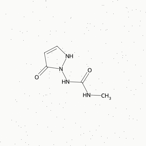 CNC(=O)Nn1[nH]ccc1=O